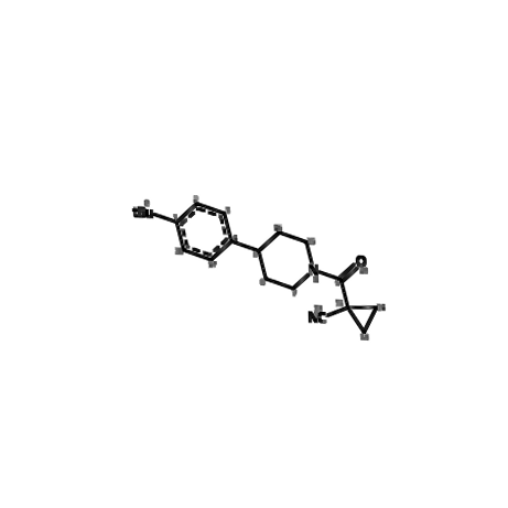 CC(C)(C)c1ccc(C2CCN(C(=O)C3(C#N)CC3)CC2)cc1